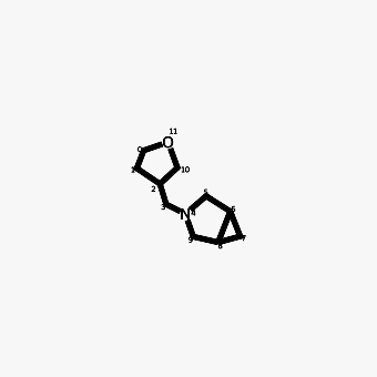 C1CC(CN2CC3CC3C2)CO1